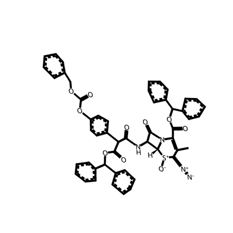 CC1=C(C(=O)OC(c2ccccc2)c2ccccc2)N2C(=O)C(NC(=O)C(C(=O)OC(c3ccccc3)c3ccccc3)c3ccc(OC(=O)OCc4ccccc4)cc3)[C@H]2[S+]([O-])C1=[N+]=[N-]